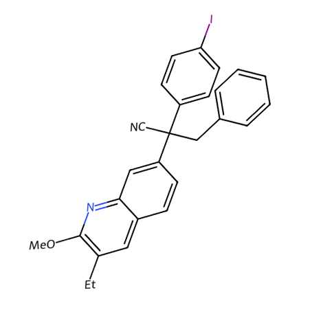 CCc1cc2ccc(C(C#N)(Cc3ccccc3)c3ccc(I)cc3)cc2nc1OC